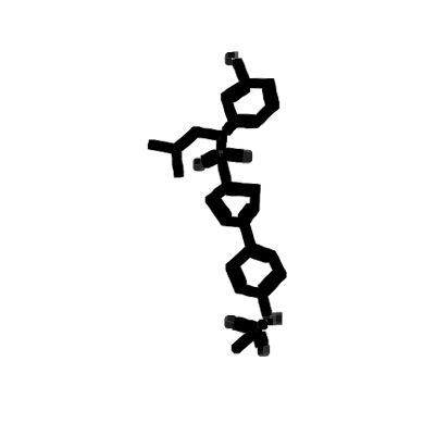 CC(C)CN(c1cccc(Cl)c1)S(=O)(=O)c1ccc(-c2ccc(NS(C)(=O)=O)cc2)cc1